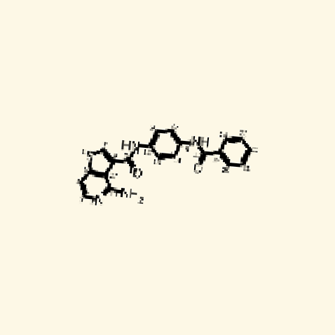 Nc1nccc2scc(C(=O)Nc3ccc(NC(=O)c4ccccc4)cc3)c12